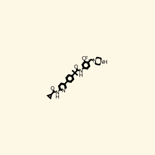 CC(C)(C(=O)Nc1ccc(CN2CCNCC2)c(C(F)(F)F)c1)c1ccc(-c2ccc(NC(=O)C3CC3)nc2)cc1